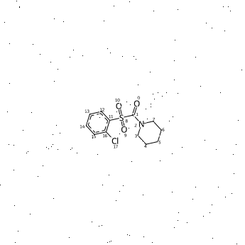 O=C(N1CCCCC1)S(=O)(=O)c1ccccc1Cl